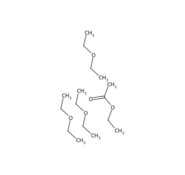 CCOC(C)=O.CCOCC.CCOCC.CCOCC